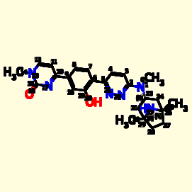 CN(c1ccc(-c2ccc(-c3ccn(C)c(=O)n3)cc2O)nn1)[C@@H]1C[C@]2(C)CC[C@](C)(C1)N2